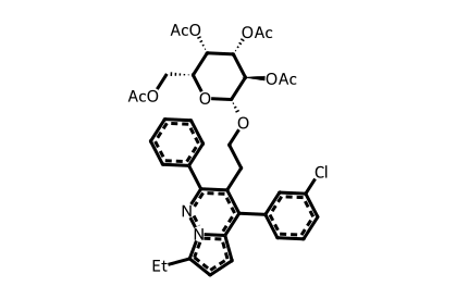 CCc1ccc2c(-c3cccc(Cl)c3)c(CCO[C@@H]3O[C@H](COC(C)=O)[C@H](OC(C)=O)[C@H](OC(C)=O)[C@H]3OC(C)=O)c(-c3ccccc3)nn12